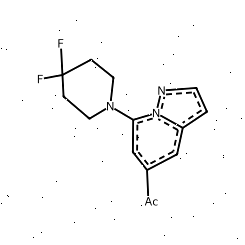 CC(=O)c1cc(N2CCC(F)(F)CC2)n2nccc2c1